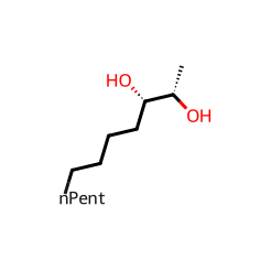 CCCCCCCCC[C@H](O)[C@H](C)O